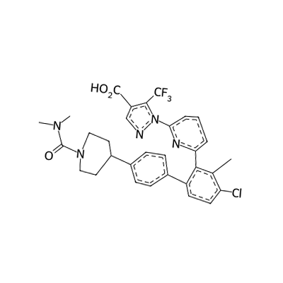 Cc1c(Cl)ccc(-c2ccc(C3CCN(C(=O)N(C)C)CC3)cc2)c1-c1cccc(-n2ncc(C(=O)O)c2C(F)(F)F)n1